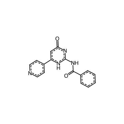 O=C(Nc1nc(=O)cc(-c2ccncc2)[nH]1)c1ccccc1